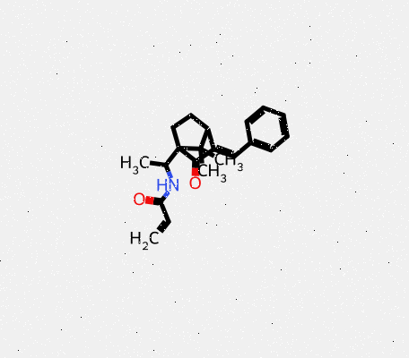 C=CC(=O)NC(C)C12CCC(C(=Cc3ccccc3)C1=O)C2(C)C